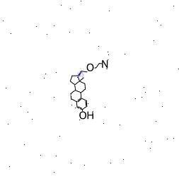 CN(C)CCOC/C=C1/CCC2C3CCc4cc(O)ccc4C3CCC12C